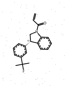 C=CC(=O)N1C[C@@H](c2cccc(C(C)(C)F)c2)c2ccccc21